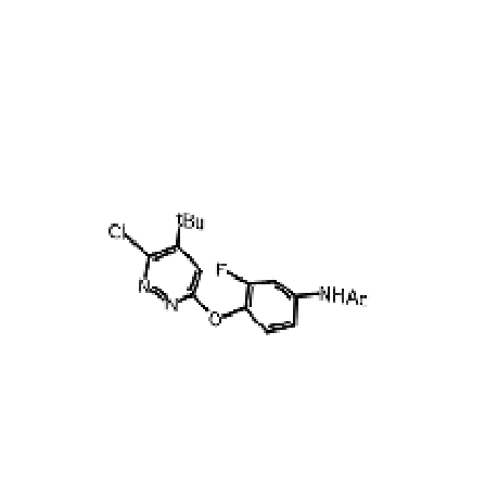 CC(=O)Nc1ccc(Oc2cc(C(C)(C)C)c(Cl)nn2)c(F)c1